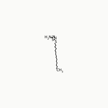 CCCCCCCCCCCCCCCCSc1nnc(N)s1